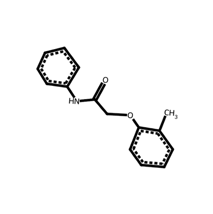 Cc1ccccc1OCC(=O)Nc1ccccc1